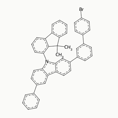 CC1(C)c2ccccc2-c2cccc(-n3c4ccc(-c5ccccc5)cc4c4ccc(-c5cccc(-c6ccc(Br)cc6)c5)cc43)c21